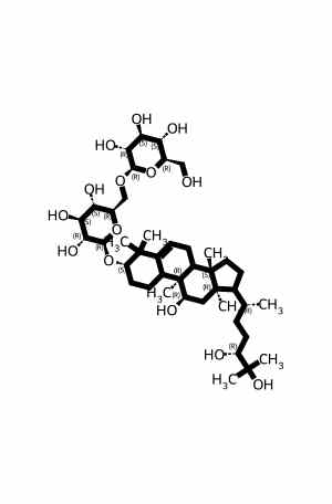 C[C@H](CC[C@@H](O)C(C)(C)O)C1CC[C@@]2(C)C3CC=C4C(CC[C@H](O[C@@H]5O[C@H](CO[C@@H]6O[C@H](CO)[C@@H](O)[C@H](O)[C@H]6O)[C@@H](O)[C@H](O)[C@H]5O)C4(C)C)[C@]3(C)[C@H](O)C[C@]12C